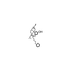 C=CCN1CCC2(c3cccc(O)c3)CC(N(CC(C)C)C(=O)CCCCCc3ccccc3)CCC2C1